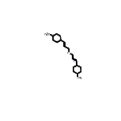 CCCC1CCC(/C=C/COC/C=C/C2CCC(CCC)CC2)CC1